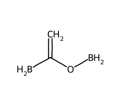 BOC(B)=C